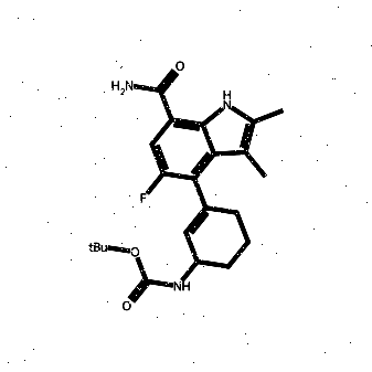 Cc1[nH]c2c(C(N)=O)cc(F)c(C3=CC(NC(=O)OC(C)(C)C)CCC3)c2c1C